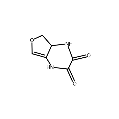 O=C1NC2=COCC2NC1=O